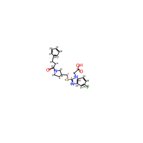 O=C(O)Cn1c(SCC2CCN(C(=O)CCc3ccccc3)C2)nc2cc(F)ccc21